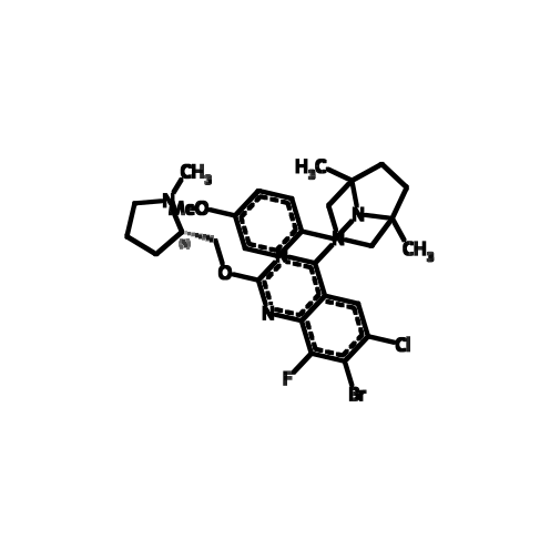 COc1ccc(CN2C3(C)CCC2(C)CN(c2nc(OC[C@@H]4CCCN4C)nc4c(F)c(Br)c(Cl)cc24)C3)cc1